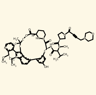 CCn1c(-c2cccnc2[C@H](C)OC)c2c3cc(ccc31)-c1cc(O)cc(c1)C[C@H](NC(=O)C(C(C)C)N(C)C(=O)[C@H]1CCN(C(=O)C#CCN3CCOCC3)C1)C(=O)N1CCC[C@H](N1)C(=O)OCC(C)(C)C2